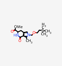 COC(=O)C1Cc2cn(COCC[Si](C)(C)C)c(C)c2C(=O)N1